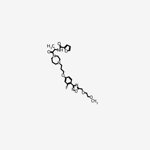 COCCOCc1nc(-c2ccc(OCCCN3CCCN(C(=O)[C@H](C)NC(=O)c4ccco4)CC3)cc2F)no1